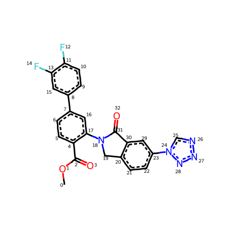 COC(=O)c1ccc(-c2ccc(F)c(F)c2)cc1N1Cc2ccc(-n3cnnn3)cc2C1=O